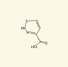 O=C(O)C1=NNSC=C1